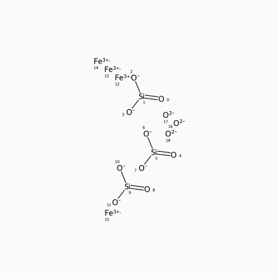 O=[Si]([O-])[O-].O=[Si]([O-])[O-].O=[Si]([O-])[O-].[Fe+3].[Fe+3].[Fe+3].[Fe+3].[O-2].[O-2].[O-2]